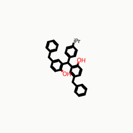 CC(C)c1ccc(C(c2cc(Cc3ccccc3)ccc2O)c2cc(Cc3ccccc3)ccc2O)cc1